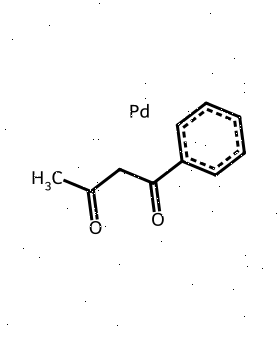 CC(=O)CC(=O)c1ccccc1.[Pd]